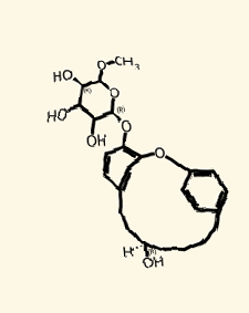 COC1O[C@@H](Oc2ccc3cc2Oc2ccc(cc2)CCCC[C@@H](O)CC3)C(O)C(O)[C@H]1O